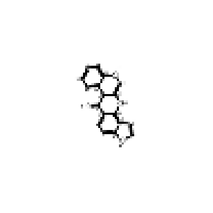 O=C1c2ccc3occc3c2OC2=COc3ccccc3C12